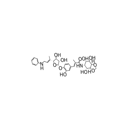 CC(=Cc1ccc(O[C@@H]2O[C@H](C(C)=CCNc3ccccc3)[C@@H](O)[C@@H]2O)c(O)c1)C(=O)N[C@@H]1[C@H](O)[C@@H](O)[C@H]2OCO[C@H]2[C@@H]1O